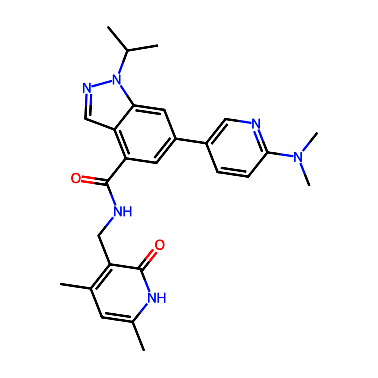 Cc1cc(C)c(CNC(=O)c2cc(-c3ccc(N(C)C)nc3)cc3c2cnn3C(C)C)c(=O)[nH]1